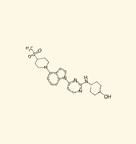 CS(=O)(=O)C1CCN(c2cccc3c2ccn3-c2ccnc(NC3CCC(O)CC3)n2)CC1